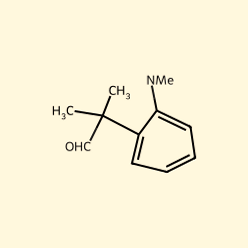 CNc1ccccc1C(C)(C)C=O